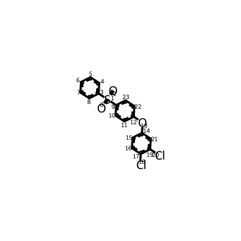 O=S(=O)(c1ccccc1)c1ccc(Oc2ccc(Cl)c(Cl)c2)cc1